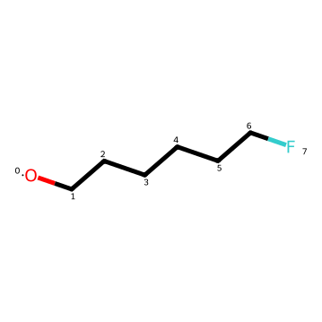 [O]CCCCCCF